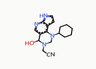 N#CCN1CN(C2CCCCC2)c2c(cnc3[nH]ccc23)C1O